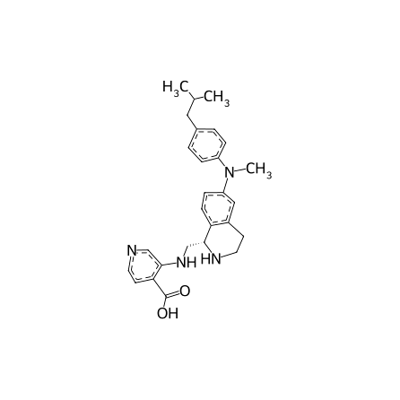 CC(C)Cc1ccc(N(C)c2ccc3c(c2)CCN[C@@H]3CNc2cnccc2C(=O)O)cc1